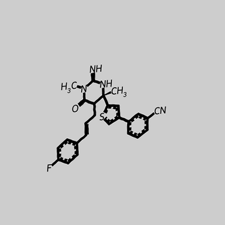 CN1C(=N)N[C@](C)(c2cc(-c3cccc(C#N)c3)cs2)C(C/C=C/c2ccc(F)cc2)C1=O